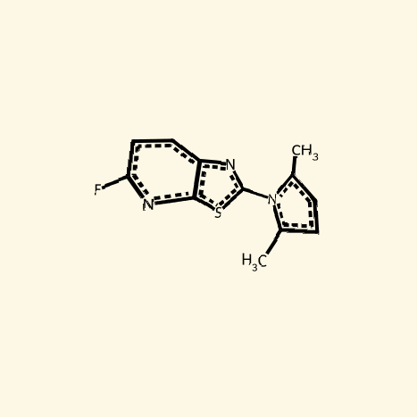 Cc1ccc(C)n1-c1nc2ccc(F)nc2s1